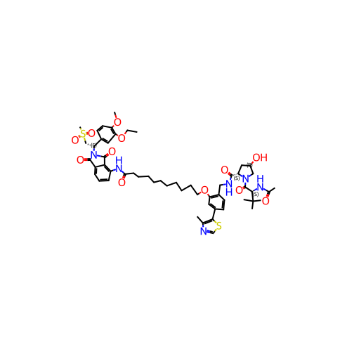 CCOc1cc([C@@H](CS(C)(=O)=O)N2C(=O)c3cccc(NC(=O)CCCCCCCCCCOc4cc(-c5scnc5C)ccc4CNC(=O)[C@@H]4C[C@@H](O)CN4C(=O)[C@@H](NC(C)=O)C(C)(C)C)c3C2=O)ccc1OC